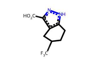 O=C(O)c1n[nH]c2c1CC(C(F)(F)F)CC2